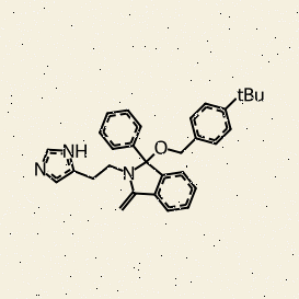 C=C1c2ccccc2C(OCc2ccc(C(C)(C)C)cc2)(c2ccccc2)N1CCc1cnc[nH]1